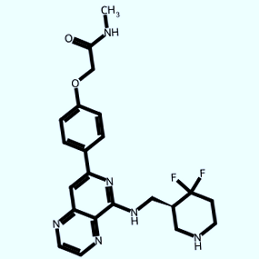 CNC(=O)COc1ccc(-c2cc3nccnc3c(NC[C@@H]3CNCCC3(F)F)n2)cc1